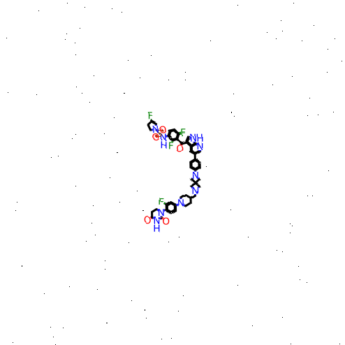 O=C1CCN(c2ccc(N3CCC(CN4CC5(C4)CN(c4ccc(-c6cnc7[nH]cc(C(=O)c8c(F)ccc(NS(=O)(=O)N9CC[C@@H](F)C9)c8F)c7c6)cc4)C5)CC3)cc2F)C(=O)N1